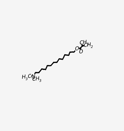 C=C(C)C(=O)OCCCCCCCCCCCCCCN(C)C